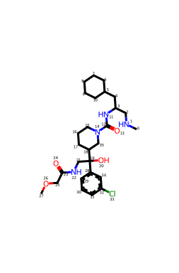 CNCC(CC1CCCCC1)NC(=O)N1CCCC(C(O)(CNC(=O)COC)c2cccc(Cl)c2)C1